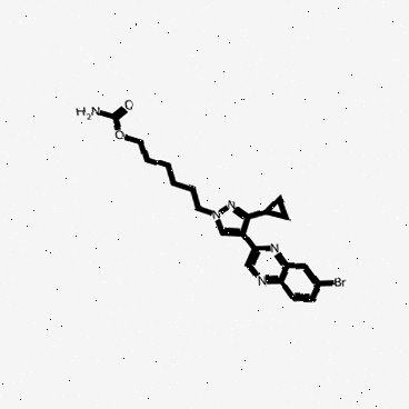 NC(=O)OCCCCCCn1cc(-c2cnc3ccc(Br)cc3n2)c(C2CC2)n1